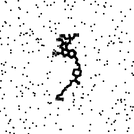 CCCCCCCCCCCCCCCCCC(=O)N1CCN(CCCc2ccc3c(c2)nc(N)c2nc(CCCC)n(CC(C)(CO)CO)c23)CC1